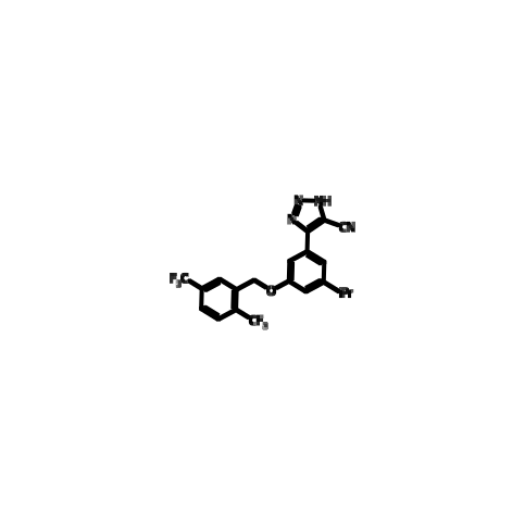 CC(C)c1cc(OCc2cc(C(F)(F)F)ccc2C(F)(F)F)cc(-c2nn[nH]c2C#N)c1